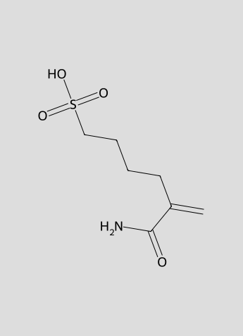 C=C(CCCCS(=O)(=O)O)C(N)=O